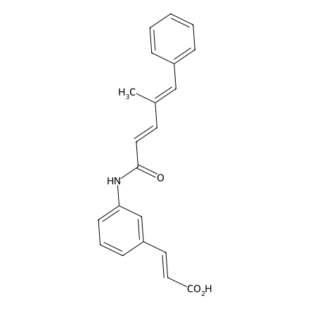 CC(/C=C/C(=O)Nc1cccc(/C=C/C(=O)O)c1)=C\c1ccccc1